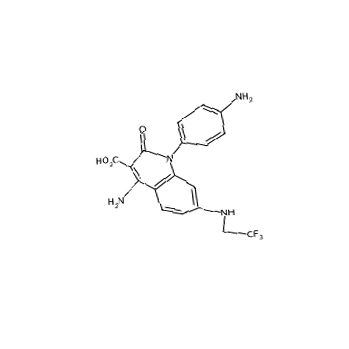 Nc1ccc(-n2c(=O)c(C(=O)O)c(N)c3ccc(NCC(F)(F)F)cc32)cc1